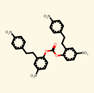 O=C(Oc1ccc([N+](=O)[O-])cc1CCc1ccc([N+](=O)[O-])cc1)Oc1ccc([N+](=O)[O-])cc1CCc1ccc([N+](=O)[O-])cc1